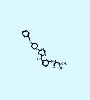 C[C@@H](O)CC(=O)Nc1cccc(Nc2ncnc(N3CCC(OCc4ccccc4)CC3)n2)c1